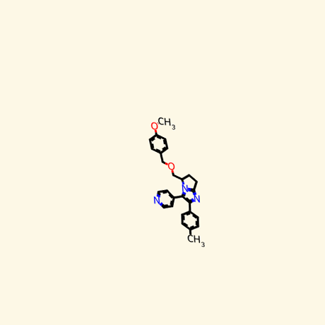 COc1ccc(COCC2CCc3nc(-c4ccc(C)cc4)c(-c4ccncc4)n32)cc1